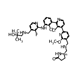 COc1nc(-c2ccnc(-c3cccc(Nc4nccc(CNCC(C)(C)O)c4F)c3Cl)c2Cl)ccc1CNC[C@H]1CCC(=O)N1